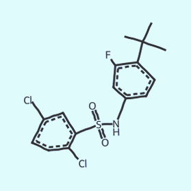 CC(C)(C)c1ccc(NS(=O)(=O)c2cc(Cl)ccc2Cl)cc1F